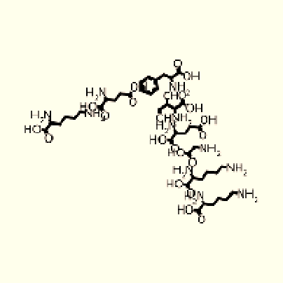 CCC(C)C(N)C(=O)O.NC(CCC(=O)O)C(=O)O.NC(CCC(=O)O)C(=O)O.NC(Cc1ccccc1)C(=O)O.NCC(=O)O.NCCCCC(N)C(=O)O.NCCCCC(N)C(=O)O.NCCCCC(N)C(=O)O